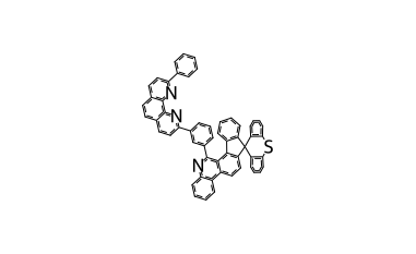 c1ccc(-c2ccc3ccc4ccc(-c5cccc(-c6nc7ccccc7c7ccc8c(c67)-c6ccccc6C86c7ccccc7Sc7ccccc76)c5)nc4c3n2)cc1